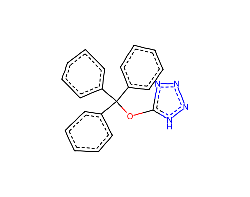 c1ccc(C(Oc2nnn[nH]2)(c2ccccc2)c2ccccc2)cc1